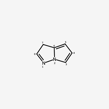 C1=Nn2cccc2C1